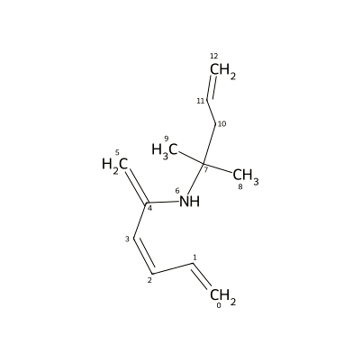 C=C/C=C\C(=C)NC(C)(C)CC=C